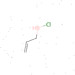 C=CCBCl